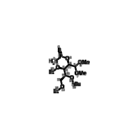 B#P(B)O[C@@H](C(OC)OC)[C@H](OCC)[C@H](COCC)OCCCC